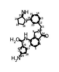 C=C(Nc1cccc2c1CN(Cc1cccc(N3CCCC3=N)c1)C2=O)c1ccc(N)s1